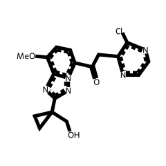 COc1ccc(C(=O)Cc2nccnc2Cl)n2nc(C3(CO)CC3)nc12